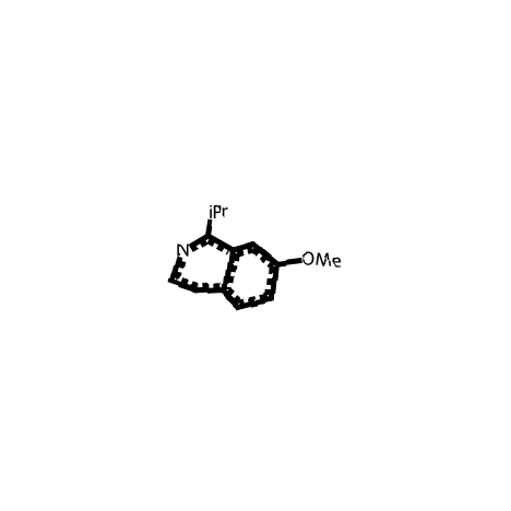 COc1ccc2ccnc(C(C)C)c2c1